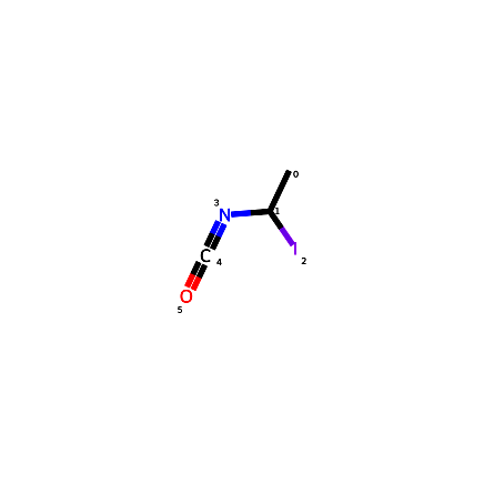 CC(I)N=C=O